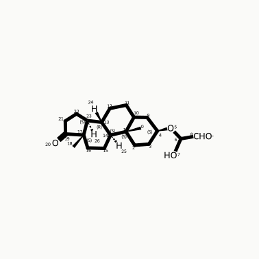 C[C@]12CC[C@H](OC(O)[C]=O)CC1CC[C@@H]1[C@@H]2CC[C@]2(C)C(=O)CC[C@@H]12